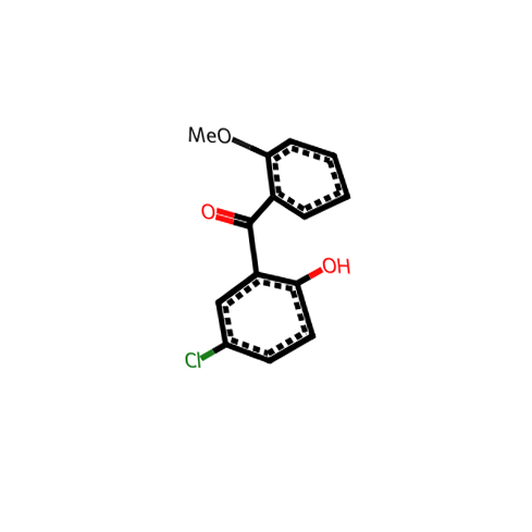 COc1ccccc1C(=O)c1cc(Cl)ccc1O